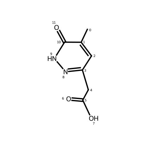 Cc1cc(CC(=O)O)n[nH]c1=O